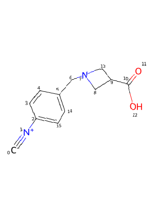 [C-]#[N+]c1ccc(CN2CC(C(=O)O)C2)cc1